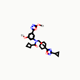 CCOc1cc(-c2nnc(OCC)o2)cc(N(CC23CCC(c4nc(C5CC5)no4)(CC2)CC3)C(=O)C2CCC2)c1